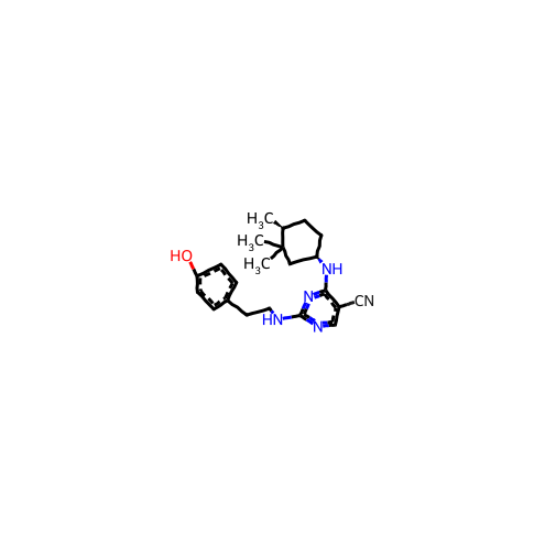 C[C@H]1CC[C@@H](Nc2nc(NCCc3ccc(O)cc3)ncc2C#N)CC1(C)C